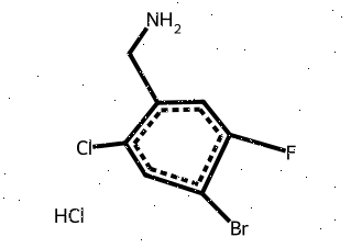 Cl.NCc1cc(F)c(Br)cc1Cl